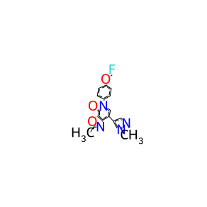 Cc1nc2c(-c3cnn(C)c3)cn(-c3ccc(OCF)cc3)c(=O)c2o1